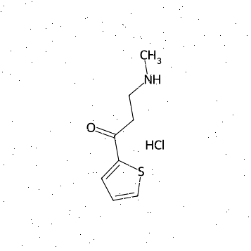 CNCCC(=O)c1cccs1.Cl